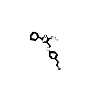 Cc1oc(-c2ccccc2)nc1COc1ccc(CCBr)cc1